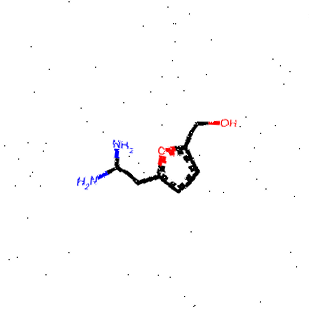 NC(N)Cc1ccc(CO)o1